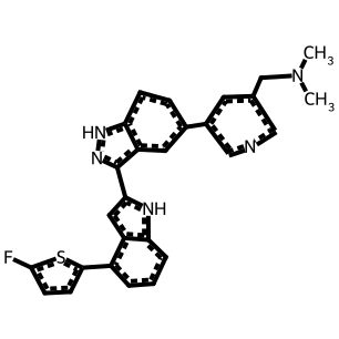 CN(C)Cc1cncc(-c2ccc3[nH]nc(-c4cc5c(-c6ccc(F)s6)cccc5[nH]4)c3c2)c1